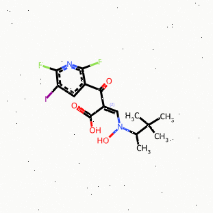 CC(N(O)/C=C(\C(=O)O)C(=O)c1cc(I)c(F)nc1F)C(C)(C)C